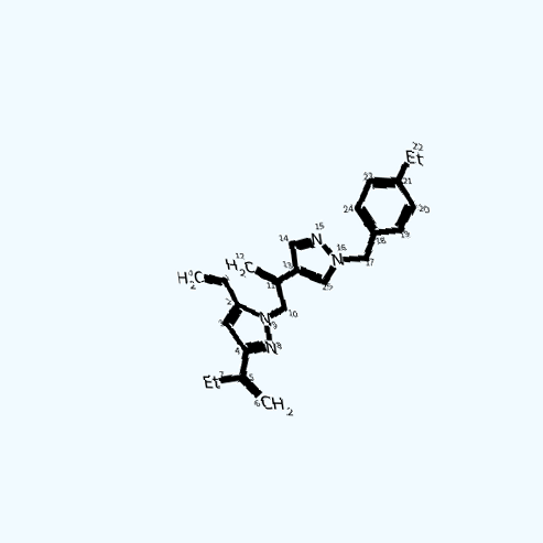 C=Cc1cc(C(=C)CC)nn1CC(=C)c1cnn(Cc2ccc(CC)cc2)c1